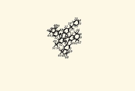 Cc1cc2c(cc1N1c3cc4c(cc3B3c5cc(C(C)(C)c6ccccc6)ccc5N(c5ccc6c(c5C)C(C)(C)CC6(C)C)c5cc(C(C)(C)C)cc1c53)C(C)(C)CCC4(C)C)C(C)(C)CC2(C)C